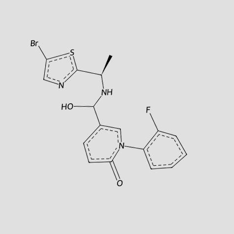 C[C@@H](NC(O)c1ccc(=O)n(-c2ccccc2F)c1)c1ncc(Br)s1